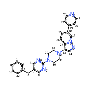 c1ccc(Cc2cnc(N3CCN(c4cnn5cc(-c6ccncc6)ccc45)CC3)nc2)cc1